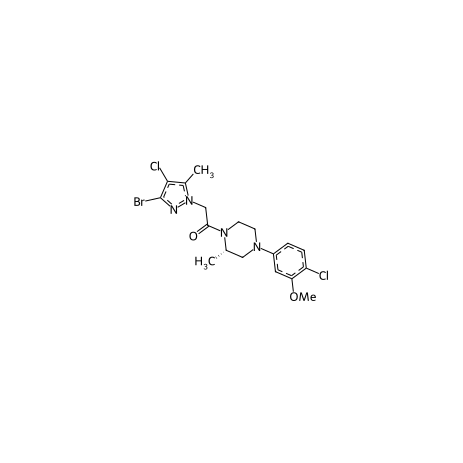 COc1cc(N2CCN(C(=O)Cn3nc(Br)c(Cl)c3C)[C@@H](C)C2)ccc1Cl